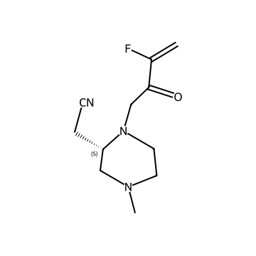 C=C(F)C(=O)CN1CCN(C)C[C@@H]1CC#N